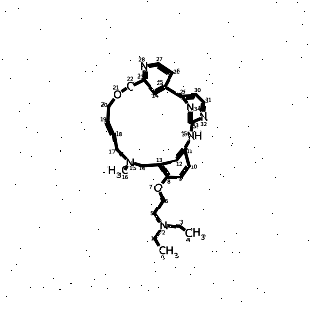 CCN(CC)CCOc1ccc2cc1CN(C)C/C=C/COCc1cc(ccn1)-c1ccnc(n1)N2